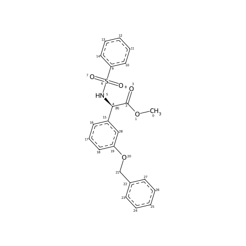 COC(=O)[C@H](NS(=O)(=O)c1ccccc1)c1cccc(OCc2ccccc2)c1